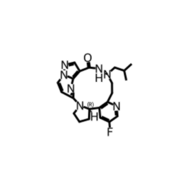 CC(C)CN1CCc2ncc(F)cc2[C@H]2CCCN2c2ccn3ncc(c3n2)C(=O)N1